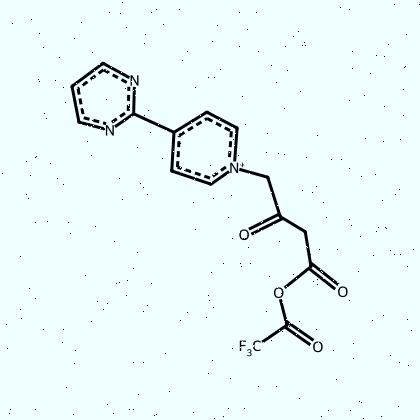 O=C(CC(=O)OC(=O)C(F)(F)F)C[n+]1ccc(-c2ncccn2)cc1